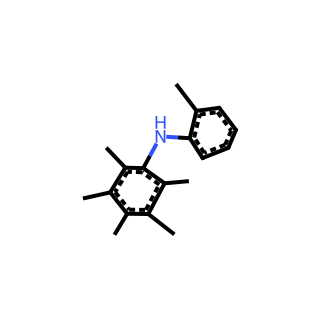 Cc1ccccc1Nc1c(C)c(C)c(C)c(C)c1C